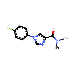 CC(C)N(C(=O)c1cn(-c2ccc(F)cc2)cn1)C(C)C